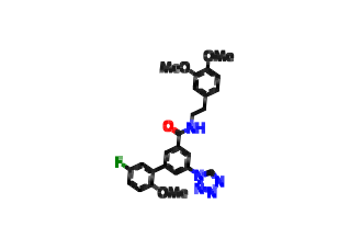 COc1ccc(CCNC(=O)c2cc(-c3cc(F)ccc3OC)cc(-n3cnnn3)c2)cc1OC